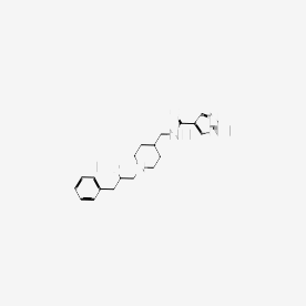 O=C(NCC1CCN(CC(O)Cc2ccccc2)CC1)c1cn[nH]c1